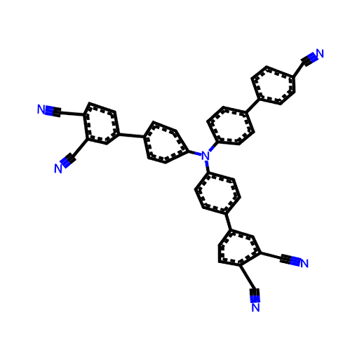 N#Cc1ccc(-c2ccc(N(c3ccc(-c4ccc(C#N)c(C#N)c4)cc3)c3ccc(-c4ccc(C#N)c(C#N)c4)cc3)cc2)cc1